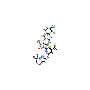 Cc1cc(Nc2cc(C(C)F)c(F)c(C[C@@]3(C(=O)O)CCN(Cc4cccc(Cl)c4F)[C@H](C)C3)n2)nn1C(C)(C)C